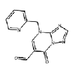 O=Cc1cn(Cc2ccccn2)c2ncnn2c1=O